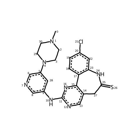 CN1CCN(c2cncc(Nc3ncc4c(n3)-c3ccc(Cl)cc3NC(=S)C4)c2)CC1